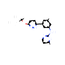 Cc1cc(Nc2nccc(C(F)(F)F)n2)cc(-c2ccc(OC(C)(C)C(=O)O)nn2)c1